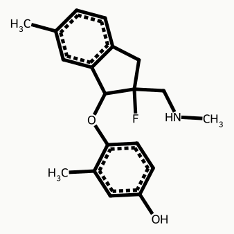 CNCC1(F)Cc2ccc(C)cc2C1Oc1ccc(O)cc1C